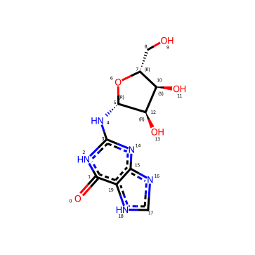 O=c1[nH]c(N[C@@H]2O[C@H](CO)[C@@H](O)[C@H]2O)nc2nc[nH]c12